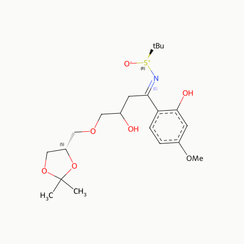 COc1ccc(/C(CC(O)COC[C@H]2COC(C)(C)O2)=N/[S@@+]([O-])C(C)(C)C)c(O)c1